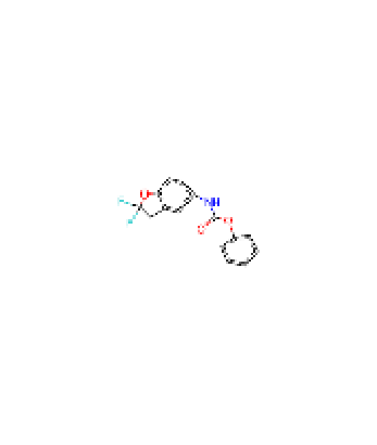 O=C(Nc1ccc2c(c1)CC(F)(F)O2)Oc1ccccc1